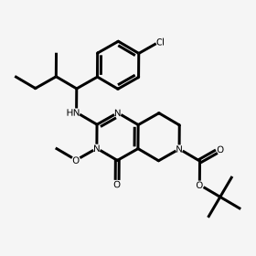 CCC(C)C(Nc1nc2c(c(=O)n1OC)CN(C(=O)OC(C)(C)C)CC2)c1ccc(Cl)cc1